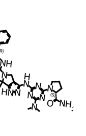 CN(C)c1nc(Nc2n[nH]c3c2CN(C(=O)NC2C[C@@H]2c2ccccc2)C3(C)C)nc(N2CCC[C@H]2C(N)=O)n1